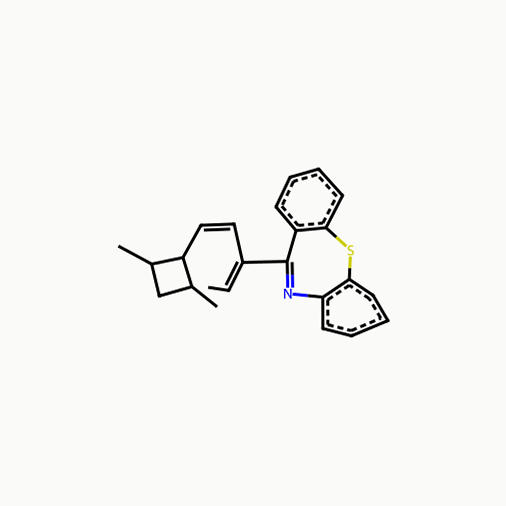 C/C=C(\C=C/C1C(C)CC1C)C1=Nc2ccccc2Sc2ccccc21